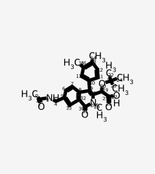 CC(=O)NCc1ccc2c(-c3ccc(C)c(C)c3)c(C(OC(C)(C)C)C(=O)O)n(C)c(=O)c2c1